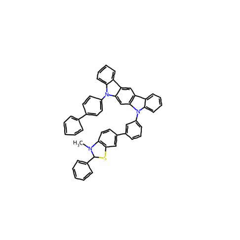 CN1c2ccc(-c3cccc(-n4c5ccccc5c5cc6c7ccccc7n(-c7ccc(-c8ccccc8)cc7)c6cc54)c3)cc2SC1c1ccccc1